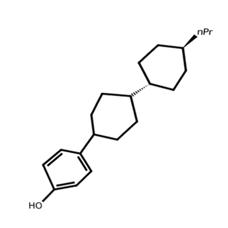 CCC[C@H]1CC[C@H](C2CCC(c3ccc(O)cc3)CC2)CC1